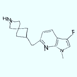 Cn1cc(F)c2ccc(CC3CC4(CNC4)C3)nc21